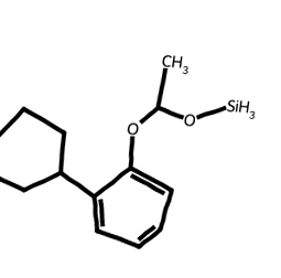 CC(O[SiH3])Oc1ccccc1C1CCCCC1